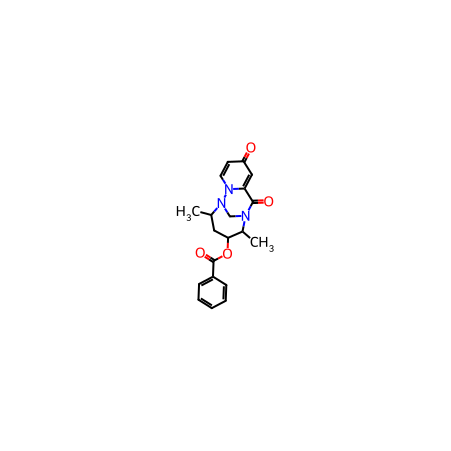 CC1C(OC(=O)c2ccccc2)CC(C)N2CN1C(=O)c1cc(=O)ccn12